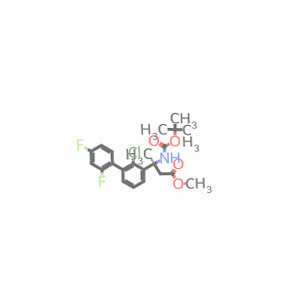 COC(=O)C[C@](C)(NC(=O)OC(C)(C)C)c1cccc(-c2ccc(F)cc2F)c1Cl